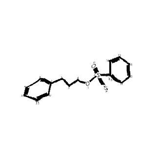 O=S(=S)(OCCCc1ccccc1)c1ccccc1